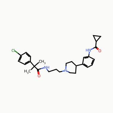 CC(C)(C(=O)NCCCN1CCC(c2cccc(NC(=O)C3CC3)c2)CC1)c1ccc(Cl)cc1